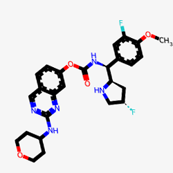 COc1ccc([C@H](NC(=O)Oc2ccc3cnc(NC4CCOCC4)nc3c2)[C@H]2C[C@H](F)CN2)cc1F